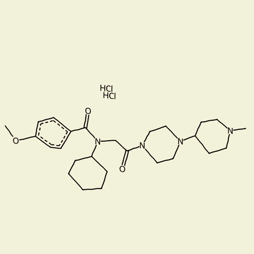 COc1ccc(C(=O)N(CC(=O)N2CCN(C3CCN(C)CC3)CC2)C2CCCCC2)cc1.Cl.Cl